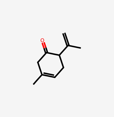 C=C(C)C1CC=C(C)CC1=O